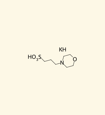 O=S(=O)(O)CCCN1CCOCC1.[KH]